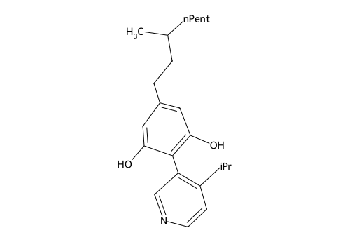 CCCCCC(C)CCc1cc(O)c(-c2cnccc2C(C)C)c(O)c1